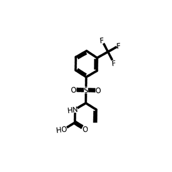 C=CC(NC(=O)O)S(=O)(=O)c1cccc(C(F)(F)F)c1